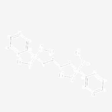 CCO[Si](CCCC[Si](OCC)(OCC)c1ccccc1)(OCC)c1ccccc1